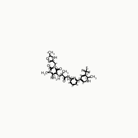 CC1NC(Cn2c(=O)c(N[C@@H](C)C(=O)Nc3cccc(C4=CNC(C)C(C(F)(F)F)=C4)n3)c(N)n(C)c2=O)=NO1